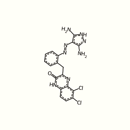 Nc1n[nH]c(N)c1N=Nc1ccccc1Cc1nc2c(Cl)c(Cl)ccc2[nH]c1=O